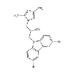 Cc1cc(C)n(CC(O)Cn2c3ccc(Br)cc3c3cc(Br)ccc32)n1